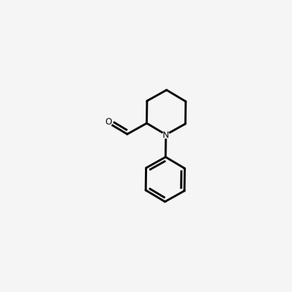 O=CC1CCCCN1c1ccccc1